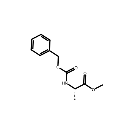 [CH2][C@H](NC(=O)OCc1ccccc1)C(=O)OC